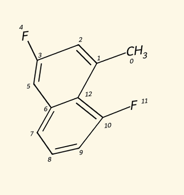 Cc1cc(F)cc2cccc(F)c12